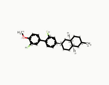 COc1ccc(-c2ccc([C@@H]3CC[C@@H]4CC(C)CC[C@@H]4C3)cc2F)cc1F